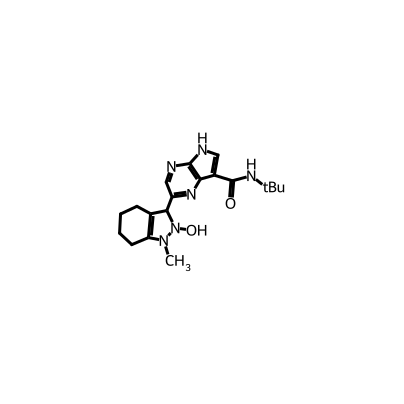 CN1C2=C(CCCC2)C(c2cnc3[nH]cc(C(=O)NC(C)(C)C)c3n2)N1O